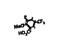 COc1c(I)cc(C(F)(F)F)cc1C(=O)O